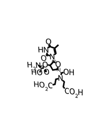 Cc1cn([C@@H]2O[C@H](C(O)N(CCC(=O)O)CCC(=O)O)CC2OP(N)(=O)O)c(=O)[nH]c1=O